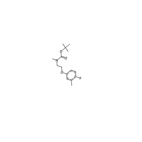 Cc1cc(OCCN(C)C(=O)OC(C)(C)C)ccc1F